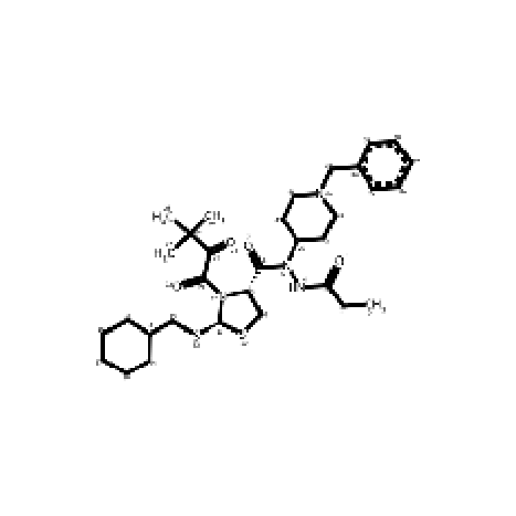 CCC(=O)NN(C(=O)[C@@H]1CS[C@@H](SCC2CCCCC2)N1C(=O)C(=O)C(C)(C)C)C1CCN(Cc2ccccc2)CC1